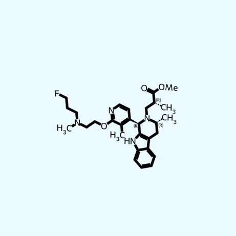 COC(=O)[C@H](C)CN1[C@H](c2ccnc(OCCN(C)CCCF)c2C)c2[nH]c3ccccc3c2C[C@H]1C